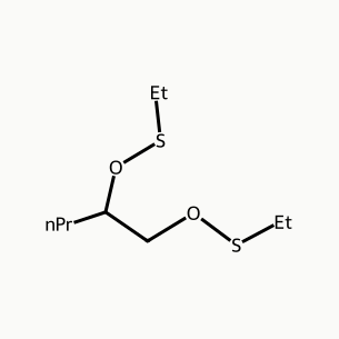 CCCC(COSCC)OSCC